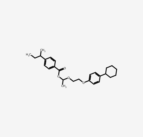 CCC(C)c1ccc(C(=O)OC(C)OCCOc2ccc(C3CCCCC3)cc2)cc1